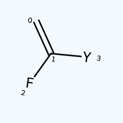 C=[C](F)[Y]